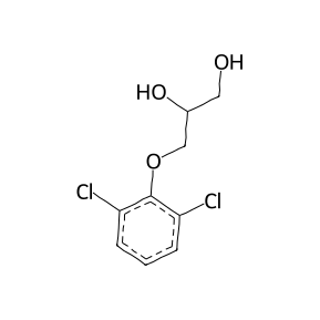 OCC(O)COc1c(Cl)cccc1Cl